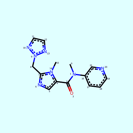 CN(C(=O)c1cnc(Cn2nccn2)n1C)c1cccnc1